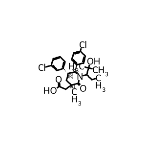 CCC(N1C(=O)[C@@](C)(CC(=O)O)C[C@H](c2cccc(Cl)c2)[C@H]1c1ccc(Cl)cc1)C(C)(C)O